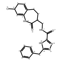 O=C(NCC1CCC2=CCC(Cl)C=C2NC1=O)c1nnc(Cc2ccccc2)[nH]1